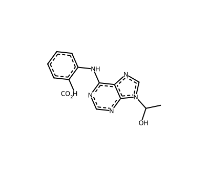 CC(O)n1cnc2c(Nc3ccccc3C(=O)O)ncnc21